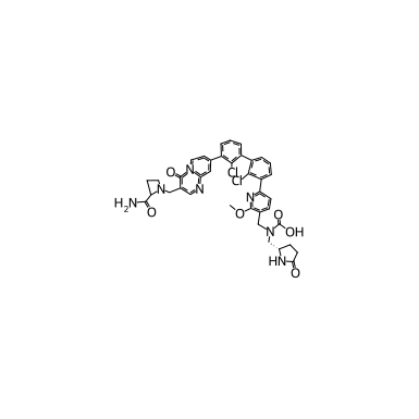 COc1nc(-c2cccc(-c3cccc(-c4ccn5c(=O)c(CN6CCC6C(N)=O)cnc5c4)c3Cl)c2Cl)ccc1CN(C[C@@H]1CCC(=O)N1)C(=O)O